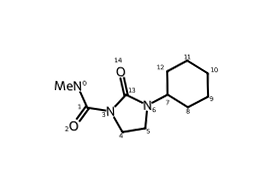 CNC(=O)N1CCN(C2CCCCC2)C1=O